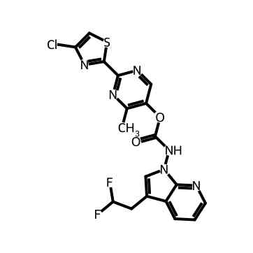 Cc1nc(-c2nc(Cl)cs2)ncc1OC(=O)Nn1cc(CC(F)F)c2cccnc21